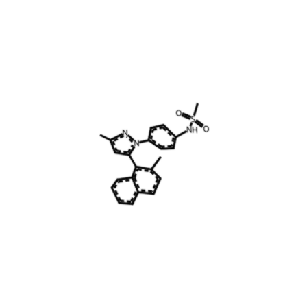 Cc1cc(-c2c(C)ccc3ccccc23)n(-c2ccc(NS(C)(=O)=O)cc2)n1